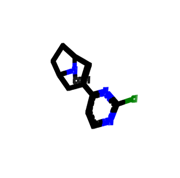 O=C(O)N1C2C=C(c3ccnc(Cl)n3)CC1CC2